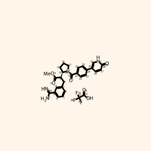 COC(=O)C(Cc1cccc(C(=N)N)c1)[C@H]1CCCN1C(=O)c1ccc(-c2ccc(=O)[nH]c2)cc1.O=C(O)C(F)(F)F